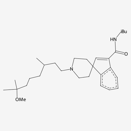 CCC(C)NC(=O)C1=CC2(CCN(CCC(C)CCCC(C)(C)OC)CC2)c2ccccc21